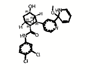 COC1(c2cc([C@@H]3[C@@H]4O[C@@H](C[C@H]4O)[C@@H]3C(=O)Nc3ccc(Cl)c(Cl)c3)ccn2)C=CC=CN1